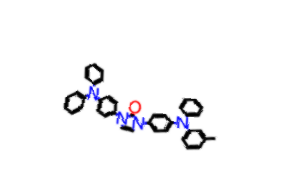 Cc1cccc(N(c2ccccc2)c2ccc(-n3ccn(-c4ccc(N(c5ccccc5)c5ccccc5)cc4)c3=O)cc2)c1